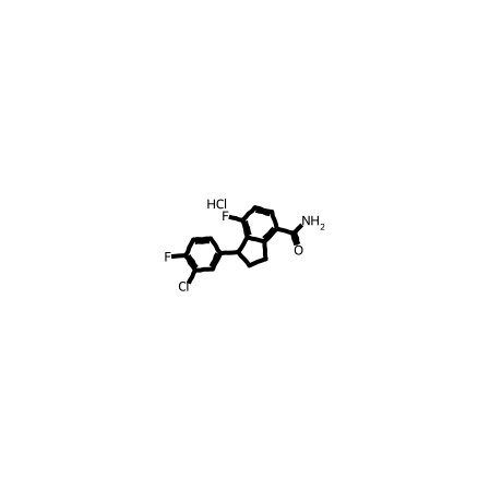 Cl.NC(=O)c1ccc(F)c2c1CCC2c1ccc(F)c(Cl)c1